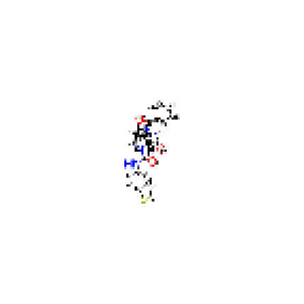 CCC(Cc1ccsc1)NC(=O)N1CC[C@@H]2[C@H]1C(=O)CN2C(=O)c1ccccc1